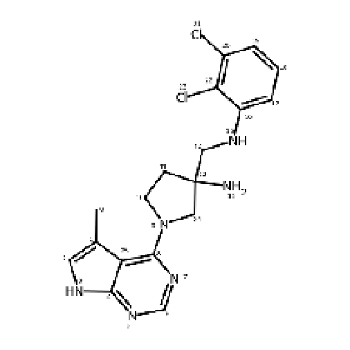 Cc1c[nH]c2ncnc(N3CCC(N)(CNc4cccc(Cl)c4Cl)C3)c12